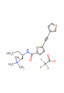 C[N+](C)(C)C[C@@H](CC(=O)O)NC(=O)c1ccc(C#Cc2ccsc2)s1.O=C([O-])C(F)(F)F